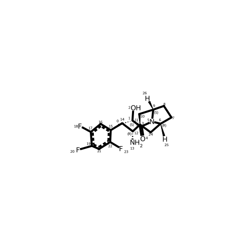 C[C@H](O)C(=O)N1[C@@H]2CC[C@H]1C[C@H]([C@H](N)Cc1cc(F)c(F)cc1F)C2